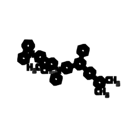 Cc1cc(C)cc(-c2ccc(-c3cc(-c4ccccc4)cc(-c4ccc(N(c5ccccc5)c5ccc6c(c5)C(C)(C)c5cc(-n7c8ccccc8c8ccccc87)ccc5-6)cc4)c3)cc2)c1